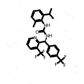 Cc1cccc(C(C)C)c1NC(=O)N[C@@H](c1ccc(C(F)(F)F)cc1)c1ncccc1C(F)(F)F